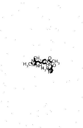 Cc1nc(C)c(CCC2CCN(C(=O)C(C)NC(=O)c3ccnn3C)CC2)c(N)n1